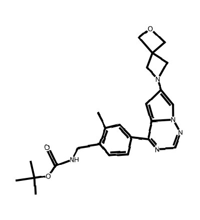 Cc1cc(-c2ncnn3cc(N4CC5(COC5)C4)cc23)ccc1CNC(=O)OC(C)(C)C